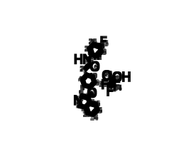 O=C(C[C@H]1CC[C@@H](Oc2cncc3ccccc23)CC1)Nc1ccc(F)cc1.O=C(O)C(F)(F)F